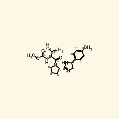 Bc1ccc(C2CN=C([C@@H]3CCCN3C(=O)[C@@H](NC(=O)OC)C(C)C)N2)cc1